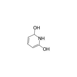 OC1=CC=CC(O)N1